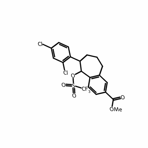 COC(=O)c1ccc2c(c1)CCCC(c1ccc(Cl)cc1Cl)C2OS(=O)(=O)C(F)(F)F